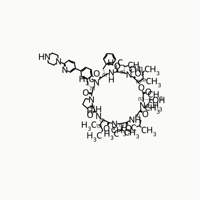 CC[C@H](C)[C@@H]1NC(=O)[C@@H]2CCCN2C(=O)[C@H](Cc2cccc(-c3ccc(N4CCNCC4)nc3)c2)N(C)C(=O)[C@H](Cc2ccccc2)NC(=O)[C@H](C(C)C)N(C)C(=O)[C@@H]([C@@H](C)CC)OC(=O)[C@H](C(C)(C)O)N(C)C(=O)[C@H](CC(C)C)NC(=O)[C@H](C(C)C)N(C)C1=O